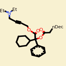 CCCCCCCCCCCC(=O)OC(C(=O)OCC#CCN(CC)CC)(c1ccccc1)C1CCCCC1